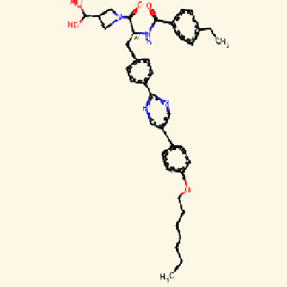 CCCCCCCOc1ccc(-c2cnc(-c3ccc(C[C@H](NC(=O)c4ccc(CC)cc4)C(=O)N4CC(C(O)O)C4)cc3)nc2)cc1